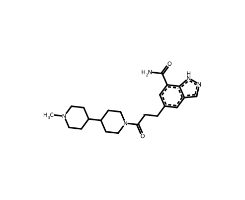 CN1CCC(C2CCN(C(=O)[CH]Cc3cc(C(N)=O)c4[nH]ncc4c3)CC2)CC1